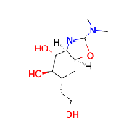 CN(C)C1=N[C@@H]2[C@@H](O)[C@H](O)[C@@H](CCO)C[C@@H]2O1